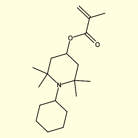 C=C(C)C(=O)OC1CC(C)(C)N(C2CCCCC2)C(C)(C)C1